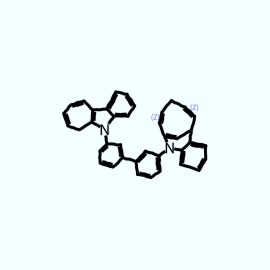 C1=CCc2c(c3ccccc3n2-c2cccc(-c3cccc(N4C5=CC(/C=C\C/C=C\5)c5ccccc54)c3)c2)C=C1